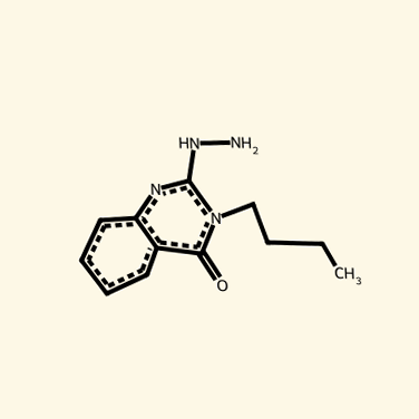 CCCCn1c(NN)nc2ccccc2c1=O